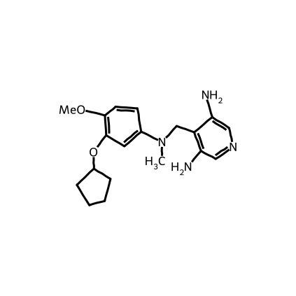 COc1ccc(N(C)Cc2c(N)cncc2N)cc1OC1CCCC1